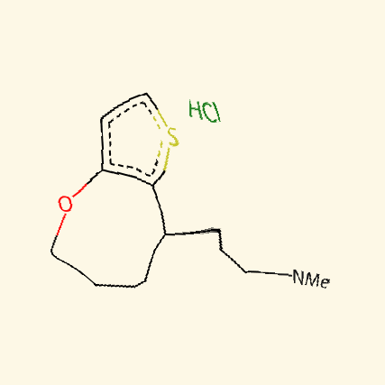 CNCCC1CCCOc2ccsc21.Cl